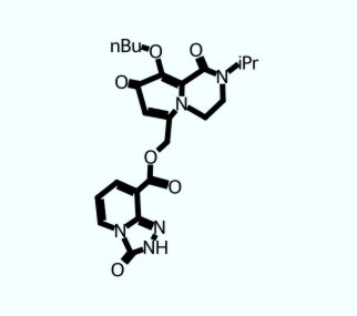 CCCCOc1c2n(c(COC(=O)c3cccn4c(=O)[nH]nc34)cc1=O)CCN(C(C)C)C2=O